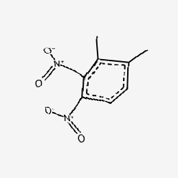 Cc1ccc([N+](=O)[O-])c([N+](=O)[O-])c1C